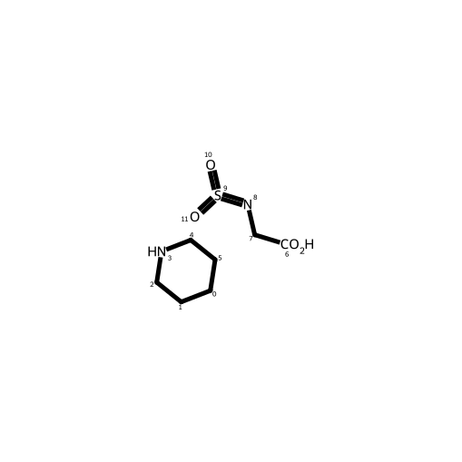 C1CCNCC1.O=C(O)CN=S(=O)=O